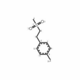 CS(=O)(=O)CCc1ccc(I)cc1